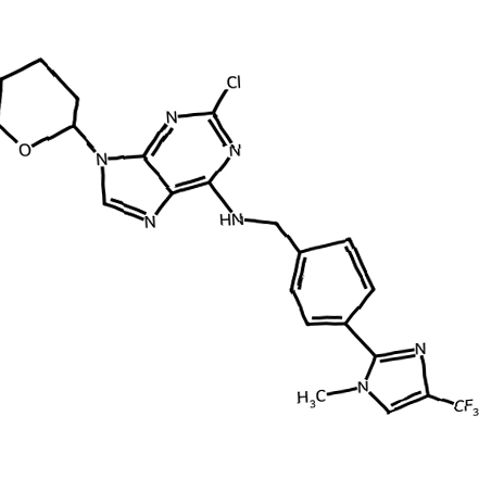 Cn1cc(C(F)(F)F)nc1-c1ccc(CNc2nc(Cl)nc3c2ncn3C2CCCCO2)cc1